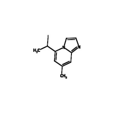 Cc1cc(C(C)I)n2ccnc2c1